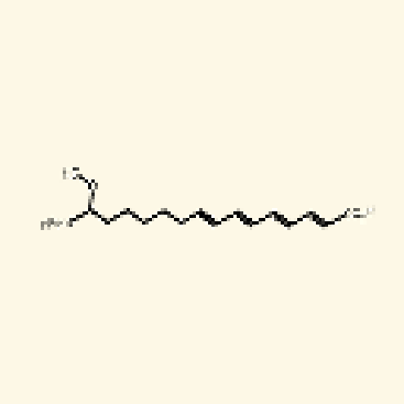 CCCCCC(CCCCC/C=C/C=C/C=C/C=C/C(=O)O)OO